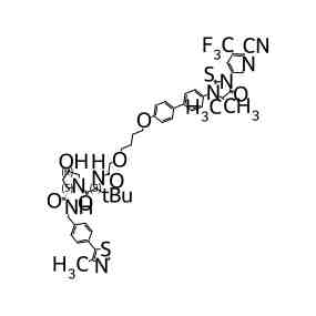 Cc1ncsc1-c1ccc(CNC(=O)[C@@H]2C[C@@H](O)CN2C(=O)[C@@H](NC(=O)COCCCCOc2ccc(-c3ccc(N4C(=S)N(c5cnc(C#N)c(C(F)(F)F)c5)C(=O)C4(C)C)cc3)cc2)C(C)(C)C)cc1